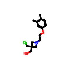 CC1C=CC(OCCN2CC(CO)(CCl)C2)=CC1C